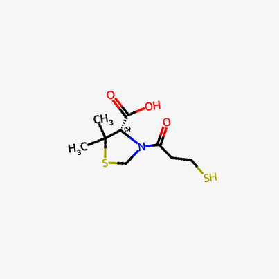 CC1(C)SCN(C(=O)CCS)[C@H]1C(=O)O